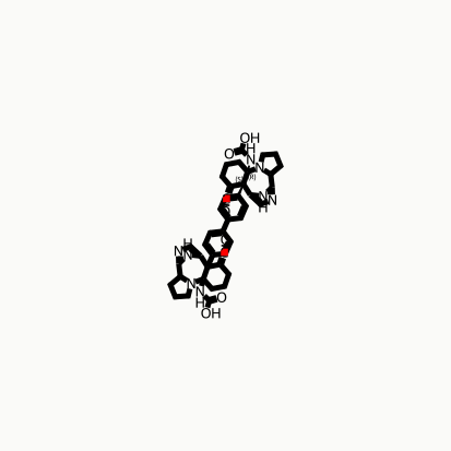 O=C=C1CCCC2(NC(=O)O)N3CCCC3c3ncc([nH]3)C12c1ccc(-c2ccc([C@@]34C(=C=O)CCC[C@@]3(NC(=O)O)N3CCCC3c3ncc4[nH]3)cc2)cc1